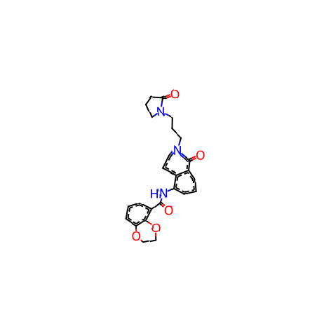 O=C(Nc1cccc2c(=O)n(CCCN3CCCC3=O)ccc12)c1cccc2c1OCCO2